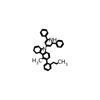 CCCc1ccccc1-c1ccc2c(c1C)c1c(n2C2=CC(c3ccccc3)NC(c3ccccc3)=C2)C=CCC1